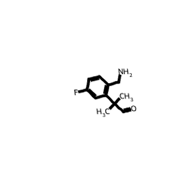 CC(C)(C=O)c1cc(F)ccc1CN